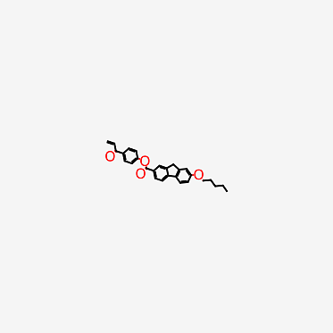 C=CC(=O)c1ccc(OC(=O)c2ccc3c(c2)Cc2cc(OCCCCC)ccc2-3)cc1